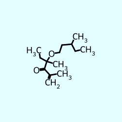 C=C(C)C(=O)C(C)(CC)OCCC(C)CC